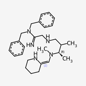 CC(CNCC(=N)N(Cc1ccccc1)Cc1ccccc1)[C@@H](C)N(C)/C=C1/CCCCN1